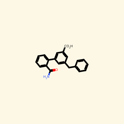 NC(=O)c1ccccc1-c1cc(Cc2ccccc2)cc(C(=O)O)c1